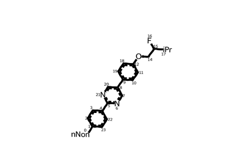 CCCCCCCCCc1ccc(-c2ncc(-c3ccc(OCC(F)C(C)C)cc3)cn2)cc1